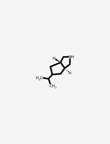 CC(C)C1C[C@@H]2CNC[C@H]2C1